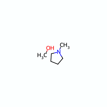 CN1CCCC1.CO